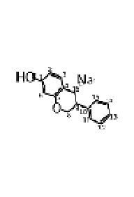 Oc1ccc2c(c1)OCC(c1ccccc1)C2.[Na]